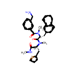 CNC(=O)[C@@H](Cc1cccs1)N(C)C(=O)[C@@H](Cc1ccc2ccccc2c1)N(C)C(=O)c1cccc(CN)c1